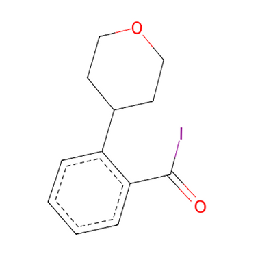 O=C(I)c1ccccc1C1CCOCC1